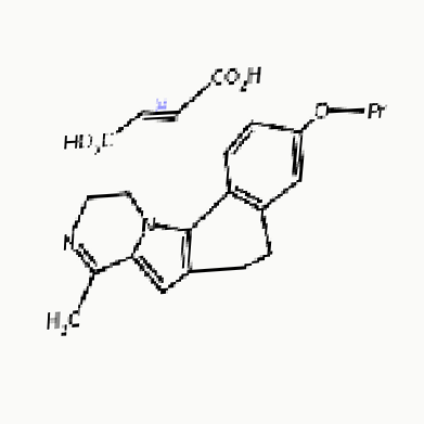 CC1=NCCn2c1cc1c2-c2ccc(OC(C)C)cc2CC1.O=C(O)/C=C/C(=O)O